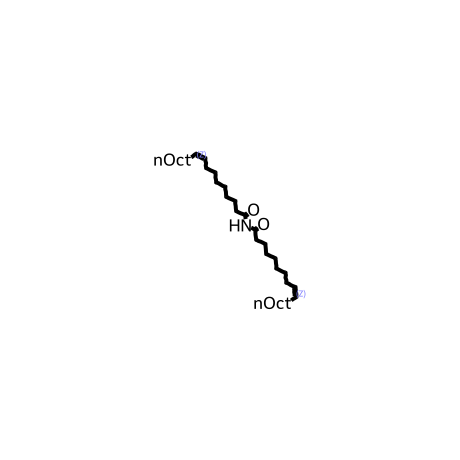 CCCCCCCC/C=C\CCCCCCCC(=O)NC(=O)CCCCCCC/C=C\CCCCCCCC